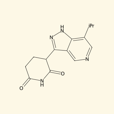 CC(C)c1cncc2c(C3CCC(=O)NC3=O)n[nH]c12